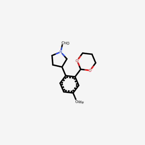 COc1ccc(C2CCN(C=O)C2)c(C2OCCCO2)c1